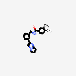 Cc1ccc(C(=O)NCc2cccc(-c3cn4c(n3)CCC4)c2)cc1C